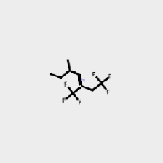 CCC(C)/C=C(/CC(F)(F)F)C(F)(F)F